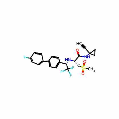 C#CC1(NC(=O)[C@H](CS(C)(=O)=O)N[C@@H](c2ccc(-c3ccc(F)cc3)cc2)C(F)(F)F)CC1